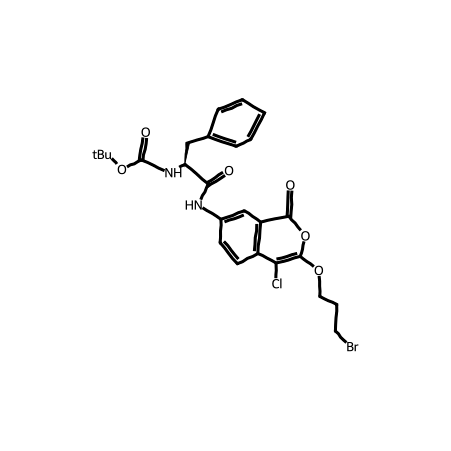 CC(C)(C)OC(=O)N[C@@H](Cc1ccccc1)C(=O)Nc1ccc2c(Cl)c(OCCCBr)oc(=O)c2c1